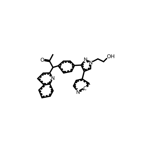 CC(=O)C(c1ccc(-c2nn(CCO)cc2-c2ccncc2)cc1)c1ccc2ccccc2n1